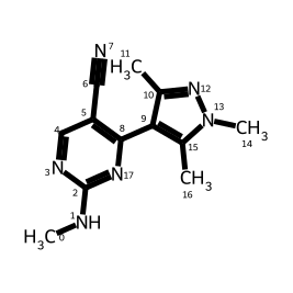 CNc1ncc(C#N)c(-c2c(C)nn(C)c2C)n1